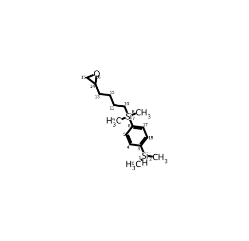 C[SiH](C)c1ccc([Si](C)(C)CCCCC2CO2)cc1